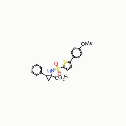 COc1ccc(-c2ccc(S(=O)(=O)N[C@]3(C(=O)O)C[C@H]3c3ccccc3)s2)cc1